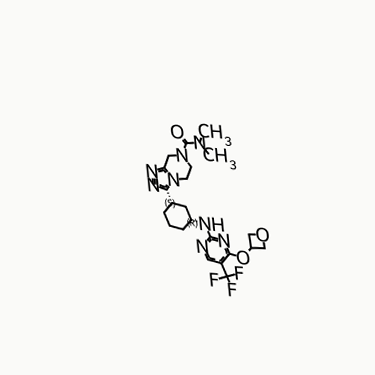 CN(C)C(=O)N1CCn2c(nnc2[C@H]2CCC[C@@H](Nc3ncc(C(F)(F)F)c(OC4COC4)n3)C2)C1